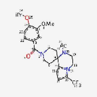 COc1cc(C(=O)N2CCC3(CC2)c2ccc(C(F)(F)F)n2CCN3C(C)=O)ccc1OC(C)C